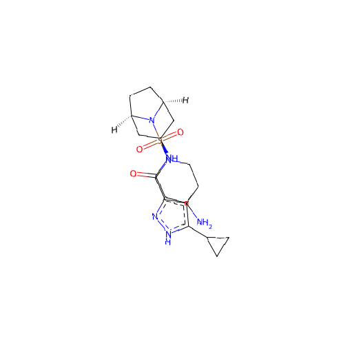 NC1CCN(S(=O)(=O)N2[C@@H]3CC[C@H]2C[C@@H](NC(=O)c2cc(C4CC4)[nH]n2)C3)CC1